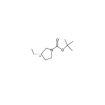 CC[C@H]1CCN(C(=O)OC(C)(C)C)C1